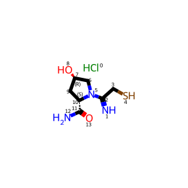 Cl.N=C(CS)N1C[C@H](O)C[C@H]1C(N)=O